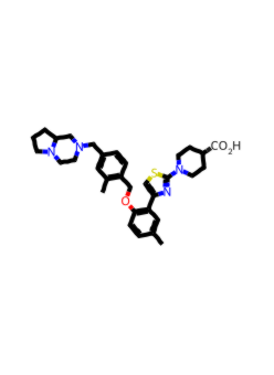 Cc1ccc(OCc2ccc(CN3CCN4CCCC4C3)cc2C)c(-c2csc(N3CCC(C(=O)O)CC3)n2)c1